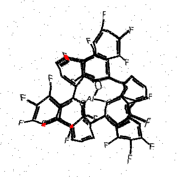 Fc1cc(-c2cccc(-c3cc(F)c(F)c(F)c3)c2[O][Al]([O]c2c(-c3cc(F)c(F)c(F)c3)cccc2-c2cc(F)c(F)c(F)c2)[O]c2c(-c3cc(F)c(F)c(F)c3)cccc2-c2cc(F)c(F)c(F)c2)cc(F)c1F